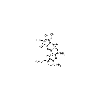 CN[C@@H]1C[C@H](N)C(O[C@H]2O[C@H](CCN)CC[C@H]2N)[C@H](O)[C@H]1O[C@H]1O[C@H](CO)[C@@H](O)[C@H](N)[C@H]1O